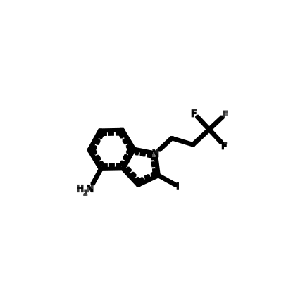 Nc1cccc2c1cc(I)n2CCC(F)(F)F